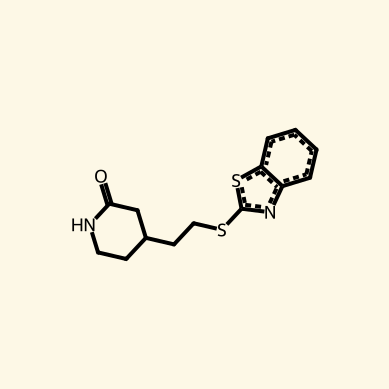 O=C1CC(CCSc2nc3ccccc3s2)CCN1